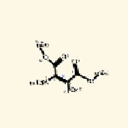 CCCCCCCC/C(C(=O)OCCCC)=C(\CCCCCCC)C(=O)OCCCC